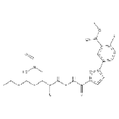 CCCCCC(CN(O)C=O)C(=O)NCNC(=O)c1ccc(-c2ccc(F)c(C(=O)OC)c2)o1